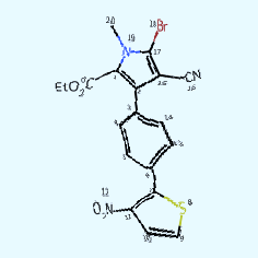 CCOC(=O)c1c(-c2ccc(-c3sccc3[N+](=O)[O-])cc2)c(C#N)c(Br)n1C